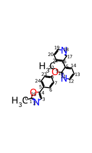 Cc1ncc(-c2ccc(Oc3ncccc3-c3cnccc3C)cc2)o1